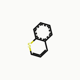 C1=CSc2ccccc2C=1